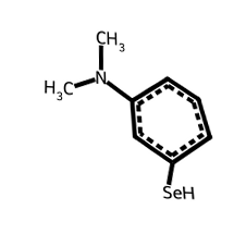 CN(C)c1cccc([SeH])c1